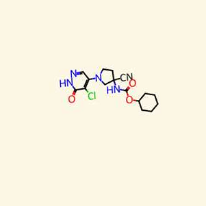 N#CC1(NC(=O)OC2CCCCC2)CCN(c2cn[nH]c(=O)c2Cl)C1